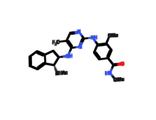 CONC(=O)c1ccc(Nc2ncc(C(F)(F)F)c(N[C@@H]3Cc4ccccc4[C@H]3NC(C)=O)n2)c(OC)c1